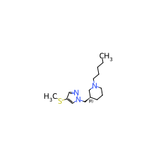 CCCCCN1CCC[C@@H](Cn2cc(SC)cn2)C1